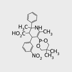 CC1=C(P2OCC(C)(C)CO2)C(c2cccc([N+](=O)[O-])c2)C(C(=O)O)C(C)(c2ccccc2)N1